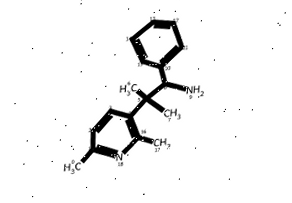 Cc1ccc(C(C)(C)C(N)c2ccccc2)c(C)n1